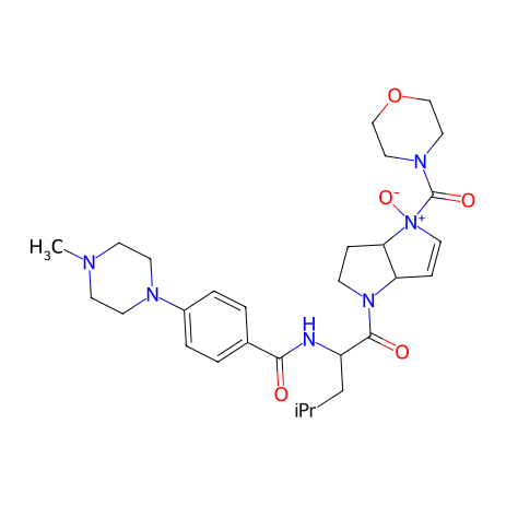 CC(C)CC(NC(=O)c1ccc(N2CCN(C)CC2)cc1)C(=O)N1CCC2C1C=C[N+]2([O-])C(=O)N1CCOCC1